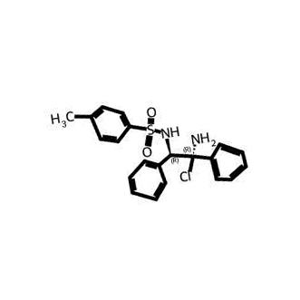 Cc1ccc(S(=O)(=O)N[C@H](c2ccccc2)[C@](N)(Cl)c2ccccc2)cc1